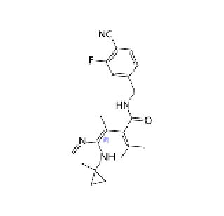 C=N/C(NC1(C)CC1)=C(\C)C(C(=O)NCc1ccc(C#N)c(F)c1)=C(C)C